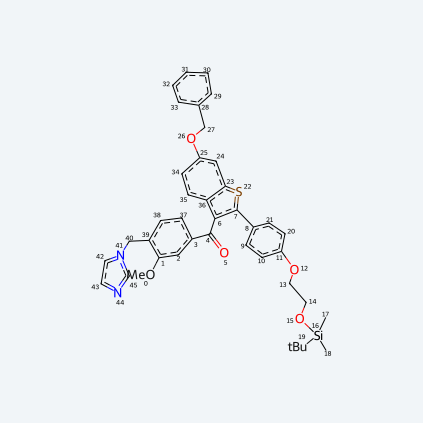 COc1cc(C(=O)c2c(-c3ccc(OCCO[Si](C)(C)C(C)(C)C)cc3)sc3cc(OCc4ccccc4)ccc23)ccc1Cn1ccnc1